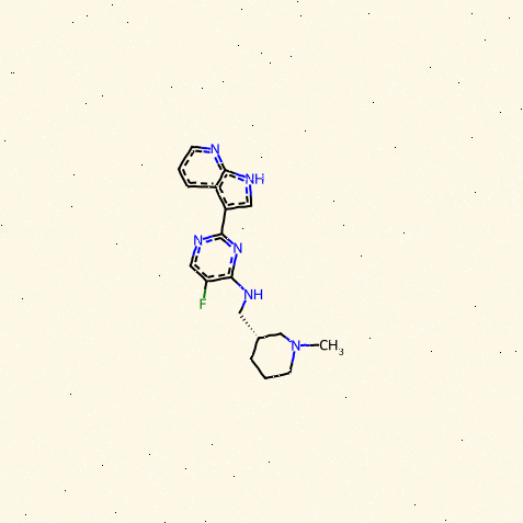 CN1CCC[C@H](CNc2nc(-c3c[nH]c4ncccc34)ncc2F)C1